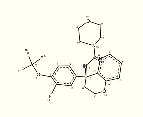 O=C(N[C@]1(c2ccc(OC(F)(F)F)c(F)c2)CCOc2cccnc21)N1CCOCC1